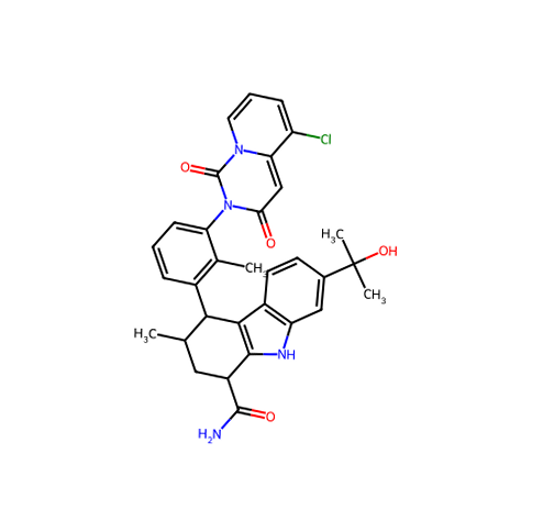 Cc1c(C2c3c([nH]c4cc(C(C)(C)O)ccc34)C(C(N)=O)CC2C)cccc1-n1c(=O)cc2c(Cl)cccn2c1=O